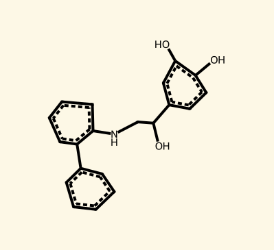 Oc1ccc(C(O)CNc2ccccc2-c2ccccc2)cc1O